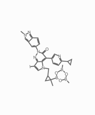 CB1OB(C)OB(C2(C)CC2Cn2cc(I)c3nn(-c4ccc5nn(C)cc5c4)c(=O)c(-c4ccc(C5CC5)nc4)c32)O1